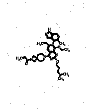 C=CC(=O)N1CC2(CCN(c3nc(OCCCN(C)C)nc4c(OCC(F)(F)F)c(-c5c(C)ccc6[nH]ncc56)c(C=C)cc34)CC2)C1